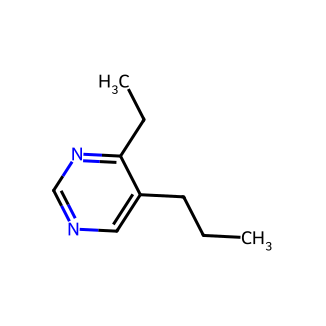 CCCc1cncnc1CC